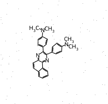 CN(C)c1ccc(-c2nc3ccc4ccccc4c3nc2-c2ccc(N(C)C)cc2)cc1